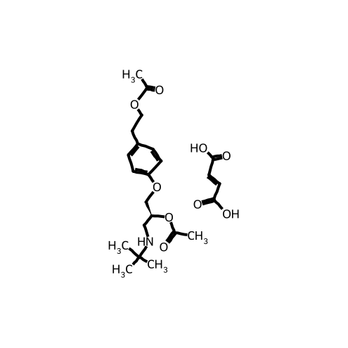 CC(=O)OCCc1ccc(OC[C@H](CNC(C)(C)C)OC(C)=O)cc1.O=C(O)C=CC(=O)O